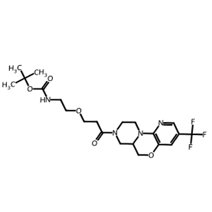 CC(C)(C)OC(=O)NCCOCCC(=O)N1CCN2c3ncc(C(F)(F)F)cc3OCC2C1